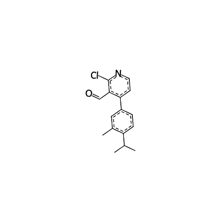 Cc1cc(-c2ccnc(Cl)c2C=O)ccc1C(C)C